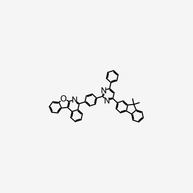 CC1(C)c2ccccc2-c2ccc(-c3cc(-c4ccccc4)nc(-c4ccc(-c5nc6oc7ccccc7c6c6ccccc56)cc4)n3)cc21